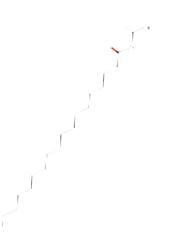 CCCC(NC(=O)CCCCCCCCCCCCCCCCC=O)C(=O)O